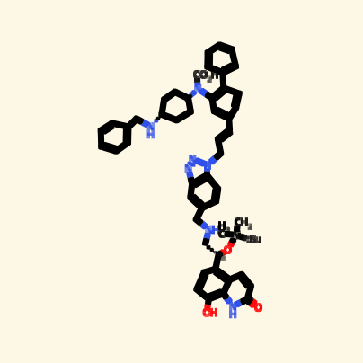 CC(C)(C)[Si](C)(C)O[C@@H](CNCc1ccc2c(c1)nnn2CC=Cc1ccc(-c2ccccc2)c(N(C(=O)O)[C@H]2CC[C@H](NCc3ccccc3)CC2)c1)c1ccc(O)c2[nH]c(=O)ccc12